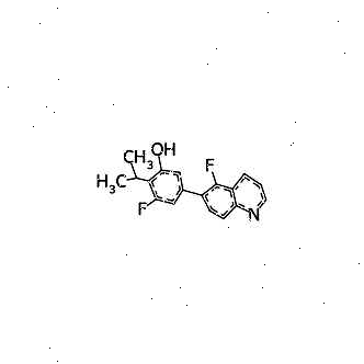 CC(C)c1c(O)cc(-c2ccc3ncccc3c2F)cc1F